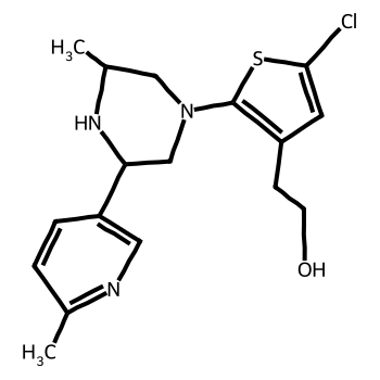 Cc1ccc(C2CN(c3sc(Cl)cc3CCO)CC(C)N2)cn1